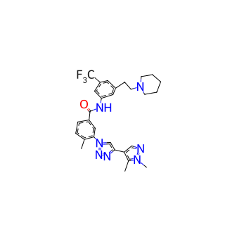 Cc1ccc(C(=O)Nc2cc(CCN3CCCCC3)cc(C(F)(F)F)c2)cc1-n1cc(-c2cnn(C)c2C)nn1